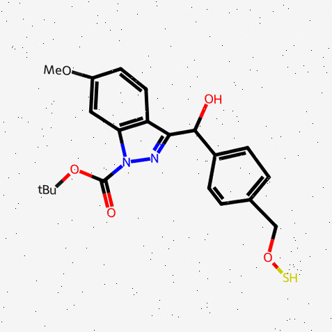 COc1ccc2c(C(O)c3ccc(COS)cc3)nn(C(=O)OC(C)(C)C)c2c1